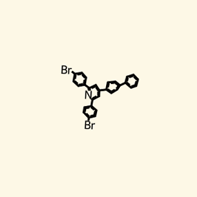 Brc1ccc(-c2cc(-c3ccc(-c4ccccc4)cc3)cc(-c3ccc(Br)cc3)n2)cc1